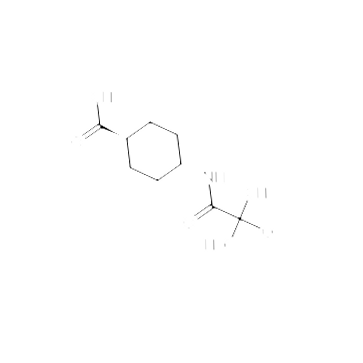 CC(=O)[C@H]1CC[C@H](NC(=O)C(C)(C)O)CC1